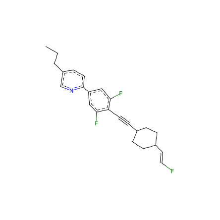 CCCc1ccc(-c2cc(F)c(C#CC3CCC(C=CF)CC3)c(F)c2)nc1